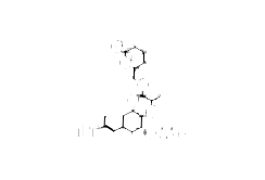 CO[C@@H]1CC(/C=C(\C)C(C)C)CCC1OC(C)C(=O)OCC1CCCC(=O)O1